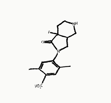 Cc1cc(N2CC3CNCCC3(F)C2=O)c(C)cc1C(=O)O